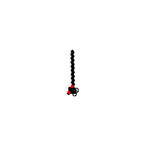 CCCCCCCCC=CCCCCCCCCCCC(CCC)(P(=O)=O)[N+](C)(C)C